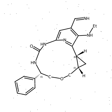 CCNc1c(C=N)cc2nc1[C@@H]1C[C@@H]1COC[C@H](c1ccccc1)NC(=O)N2